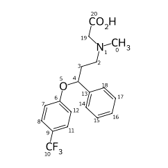 CN(CCC(Oc1ccc(C(F)(F)F)cc1)c1ccccc1)CC(=O)O